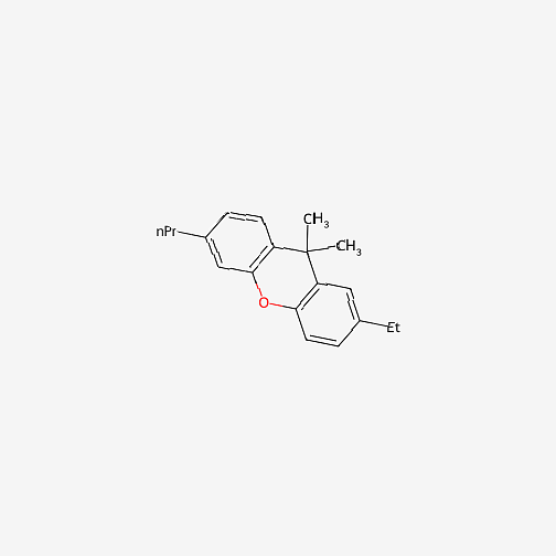 CCCc1ccc2c(c1)Oc1ccc(CC)cc1C2(C)C